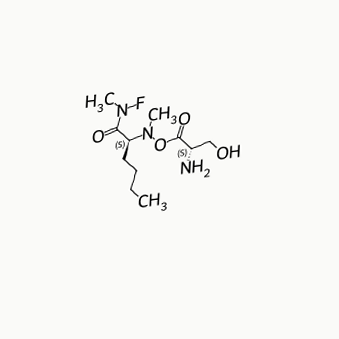 CCCC[C@@H](C(=O)N(C)F)N(C)OC(=O)[C@@H](N)CO